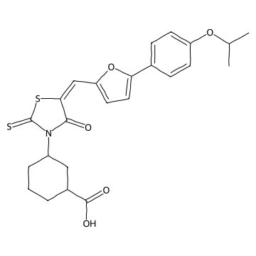 CC(C)Oc1ccc(-c2ccc(/C=C3/SC(=S)N(C4CCCC(C(=O)O)C4)C3=O)o2)cc1